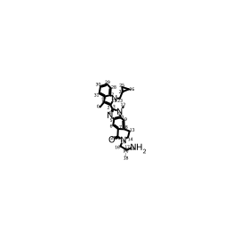 Cc1c(-c2nc3cc4c(cc3n2C)CCN(C[C@@H](C)N)C4=O)n(CC2CC2)c2ccccc12